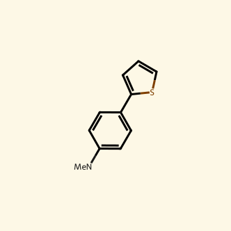 CNc1ccc(-c2cccs2)cc1